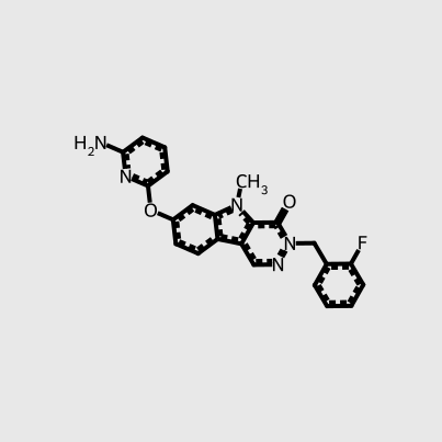 Cn1c2cc(Oc3cccc(N)n3)ccc2c2cnn(Cc3ccccc3F)c(=O)c21